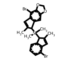 CC1=Cc2c(Br)cccc2C1[Si](C)(C)C1C(C)=Cc2c1cc1c(c2Br)OCO1